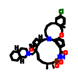 CO[C@]1(CN2CC[C@H]3CCCC[C@@H]3C2)/C=C/C[C@H](C)[C@@H](C)S(=O)(=O)NC(=O)c2ccc3c(c2)N(CCCCC2C=C(Cl)C=CC2(C)CO3)C[C@@H]2CC[C@H]21